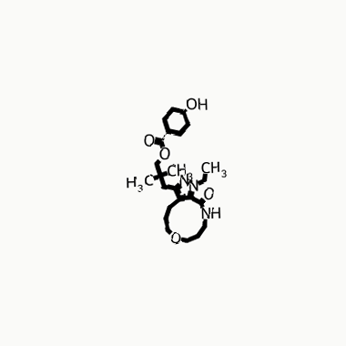 CCn1nc(CC(C)(C)COC(=O)[C@H]2CC[C@H](O)CC2)c2c1C(=O)NCCCOCCC2